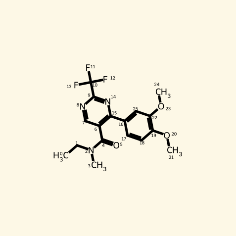 CCN(C)C(=O)c1cnc(C(F)(F)F)nc1-c1ccc(OC)c(OC)c1